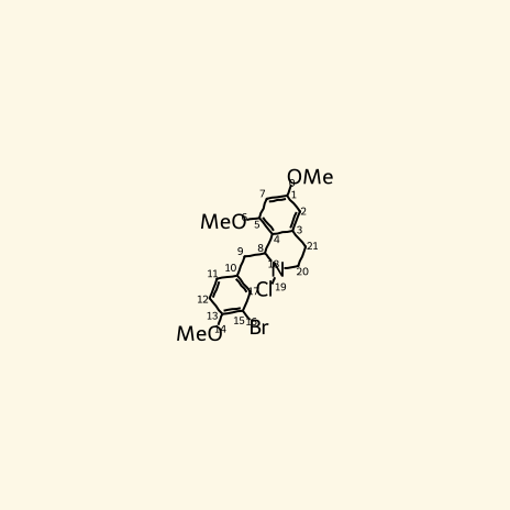 COc1cc2c(c(OC)c1)C(Cc1ccc(OC)c(Br)c1)N(Cl)CC2